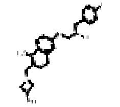 CC1=C(CN2CC(C(=O)O)C2)CCc2cc(OC[C@H](C)Cc3ccc(F)cc3)ccc21